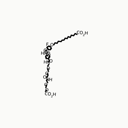 O=C(O)CCCCCCCCCCCCCCCOc1ccc(S(=O)(=O)Nc2ccc(C(=O)NCCOCCOCC(=O)NCCOCCOCC(=O)O)cn2)cc1F